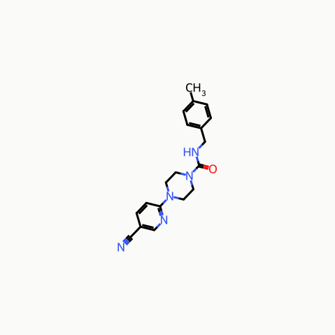 Cc1ccc(CNC(=O)N2CCN(c3ccc(C#N)cn3)CC2)cc1